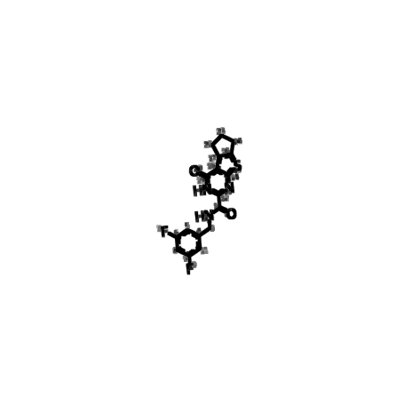 O=C(NCc1cc(F)cc(F)c1)c1nc2sc3c(c2c(=O)[nH]1)CCC3